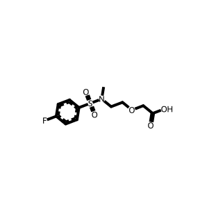 CN(CCOCC(=O)O)S(=O)(=O)c1ccc(F)cc1